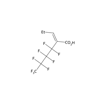 CCC=C(C(=O)O)C(F)(F)C(F)(F)C(F)(F)C(F)(F)F